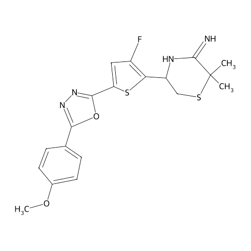 COc1ccc(-c2nnc(-c3cc(F)c(C4CSC(C)(C)C(=N)N4)s3)o2)cc1